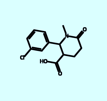 CN1C(=O)CCC(C(=O)O)C1c1cccc(Cl)c1